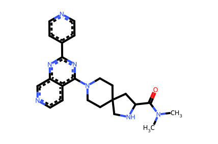 CN(C)C(=O)C1CC2(CCN(c3nc(-c4ccncc4)nc4cnccc34)CC2)CN1